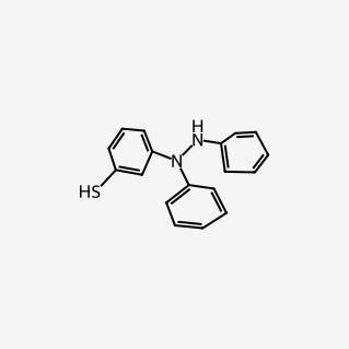 Sc1cccc(N(Nc2ccccc2)c2ccccc2)c1